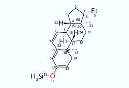 CC[C@H]1CC[C@H]2[C@@H]3C=CC4=CC(O[SiH3])=CC[C@]4(C)[C@H]3CC[C@]12C